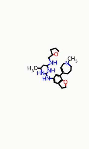 CC1CC(NCC2CCCO2)NC(Nc2cc3c(c(C4=CCN(C)CCC4)c2)OCC3)N1